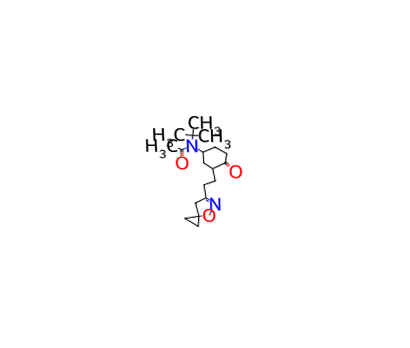 CC(=O)N(C1CCC(=O)C(CCC2=NOC3(CC3)C2)C1)C(C)(C)C